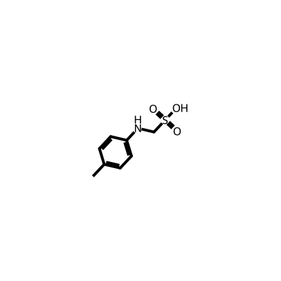 Cc1ccc(NCS(=O)(=O)O)cc1